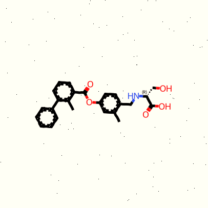 Cc1cc(OC(=O)c2cccc(-c3ccccc3)c2C)ccc1CN[C@H](CO)C(=O)O